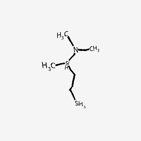 CN(C)[SiH](C)CC[SiH3]